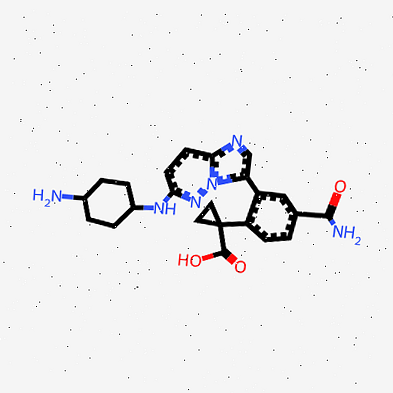 NC(=O)c1ccc(C2(C(=O)O)CC2)c(-c2cnc3ccc(NC4CCC(N)CC4)nn23)c1